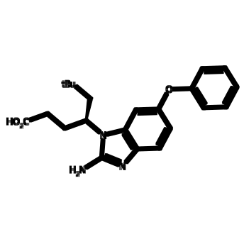 CC(C)(C)C[C@H](CCC(=O)O)n1c(N)nc2ccc(Oc3ccccc3)cc21